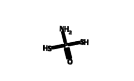 NP(=O)(S)S